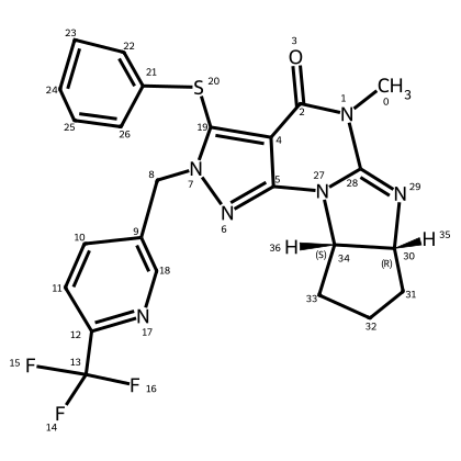 CN1C(=O)c2c(nn(Cc3ccc(C(F)(F)F)nc3)c2Sc2ccccc2)N2C1=N[C@@H]1CCC[C@@H]12